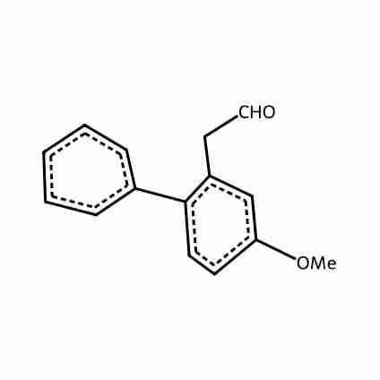 COc1ccc(-c2ccccc2)c(CC=O)c1